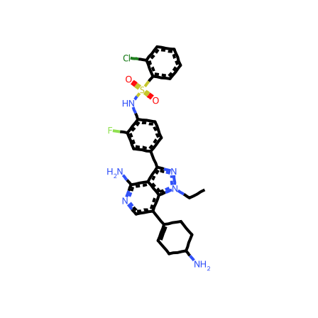 CCn1nc(-c2ccc(NS(=O)(=O)c3ccccc3Cl)c(F)c2)c2c(N)ncc(C3=CCC(N)CC3)c21